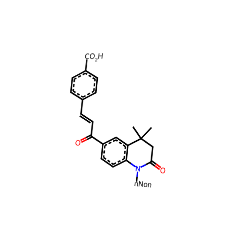 CCCCCCCCCN1C(=O)CC(C)(C)c2cc(C(=O)/C=C/c3ccc(C(=O)O)cc3)ccc21